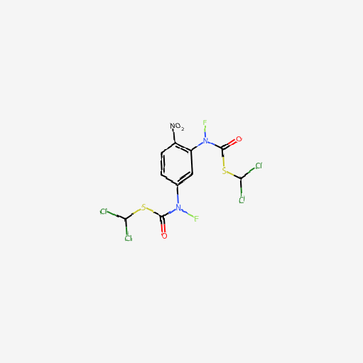 O=C(SC(Cl)Cl)N(F)c1ccc([N+](=O)[O-])c(N(F)C(=O)SC(Cl)Cl)c1